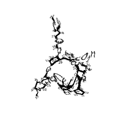 Cc1c(Cl)c2c(Cl)c(C)c1-c1c(C3=CCCC3)sc3ncnc(c13)O[C@@H](C(=O)O)Cc1cc(ccc1OCOCC[Si](C)(C)C)OC[C@@H](CN1CCN(C)CC1)O2